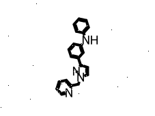 c1ccc(Nc2cccc(-c3ccn(Cc4ccccn4)n3)c2)cc1